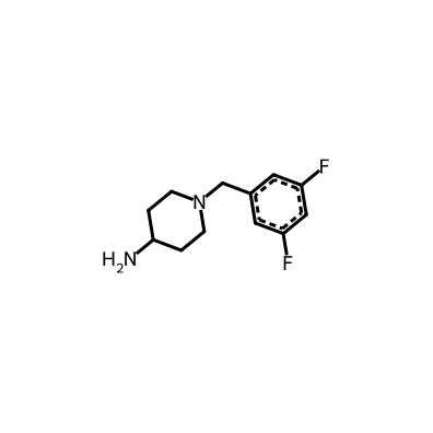 NC1CCN(Cc2cc(F)cc(F)c2)CC1